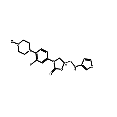 O=C1O[C@@H](CNc2ccoc2)CN1c1ccc(N2CC[S+]([O-])CC2)c(F)c1